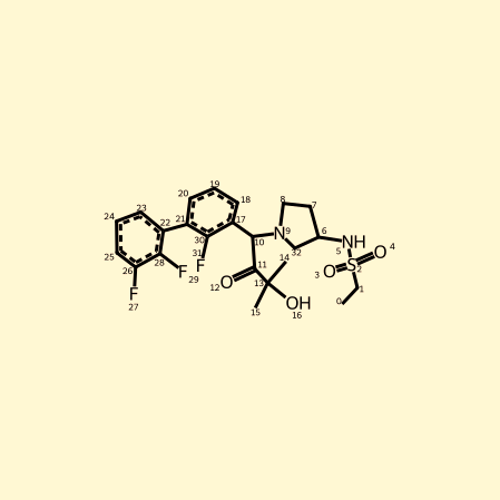 CCS(=O)(=O)NC1CCN(C(C(=O)C(C)(C)O)c2cccc(-c3cccc(F)c3F)c2F)C1